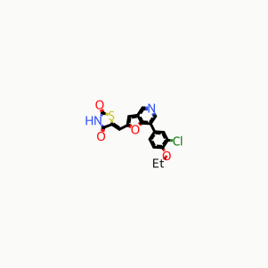 CCOc1ccc(-c2cncc3cc(/C=C4\SC(=O)NC4=O)oc23)cc1Cl